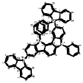 c1ccc(-n2c3ccc([Si]4(c5ccccc5)c5ccccc5-c5ccccc54)cc3c3c2ccc2c4cc(-n5c6ccccc6c6ccccc65)ccc4n(-c4ccccc4)c23)cc1